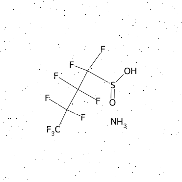 N.O=S(O)C(F)(F)C(F)(F)C(F)(F)C(F)(F)F